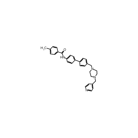 Cc1ccc(C(=O)Nc2ccc(-c3ccc(CN4CCN(Cc5ccncc5)CC4)cc3)cc2)cc1